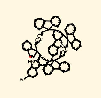 Brc1ccc2c(c1)[nH]c1c3cc(cc12)C1(c2ccc(cc2)C2(c4ccccc4-c4ccccc42)c2cc(cc4c2[nH]c2cc(Br)ccc24)C2(c4ccc(cc4)C34c3ccccc3-c3ccccc34)c3ccccc3-c3ccccc32)c2ccccc2-c2ccccc21